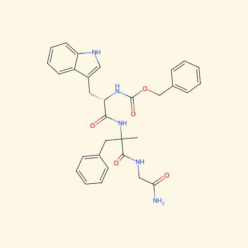 CC(Cc1ccccc1)(NC(=O)[C@H](Cc1c[nH]c2ccccc12)NC(=O)OCc1ccccc1)C(=O)NCC(N)=O